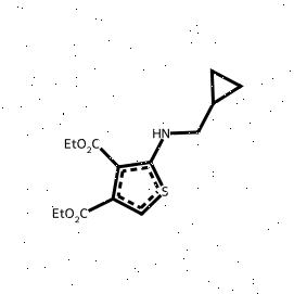 CCOC(=O)c1csc(NCC2CC2)c1C(=O)OCC